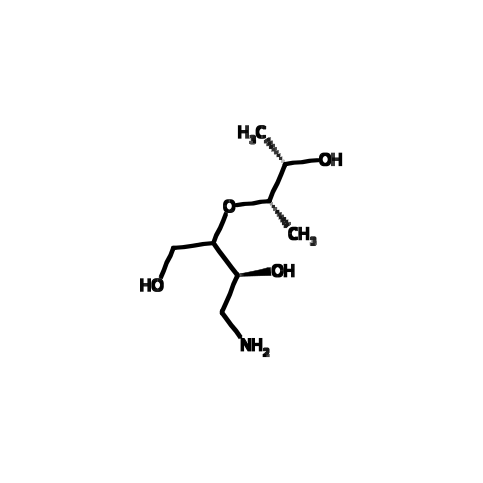 C[C@H](O)[C@H](C)OC(CO)[C@@H](O)CN